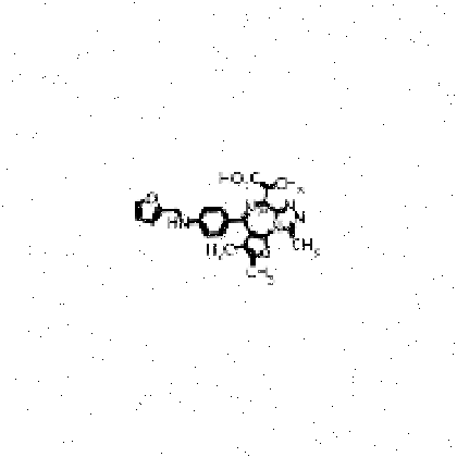 Cc1sc2c(c1C)C(c1ccc(NCc3ccco3)cc1)=N[C@@H](C(C)C(=O)O)c1nnc(C)n1-2